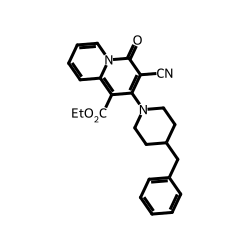 CCOC(=O)c1c(N2CCC(Cc3ccccc3)CC2)c(C#N)c(=O)n2ccccc12